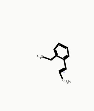 NCc1ccccc1/C=C/C(=O)O